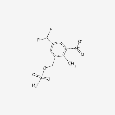 Cc1c(COS(C)(=O)=O)cc(C(F)F)cc1[N+](=O)[O-]